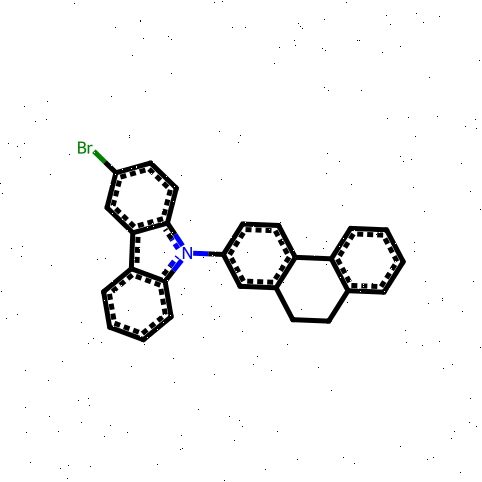 Brc1ccc2c(c1)c1ccccc1n2-c1ccc2c(c1)CCc1ccccc1-2